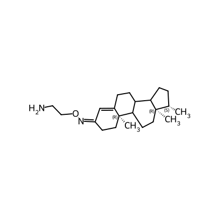 C[C@H]1CCC2C3CCC4=CC(=NOCCN)CC[C@]4(C)C3CC[C@@]21C